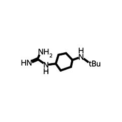 CC(C)(C)NC1CCC(NC(=N)N)CC1